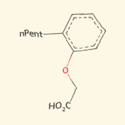 CCCCCc1ccccc1OCC(=O)O